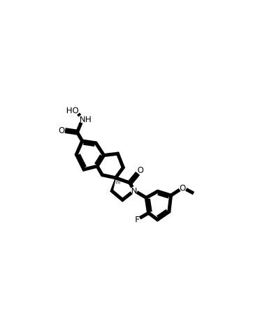 COc1ccc(F)c(N2CC[C@@]3(CCc4cc(C(=O)NO)ccc4C3)C2=O)c1